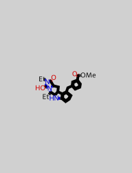 CCC1C2Nc3cccc(Cc4cccc(C(=O)OC)c4)c3C2CC2C(=O)N(CC)C(O)N21